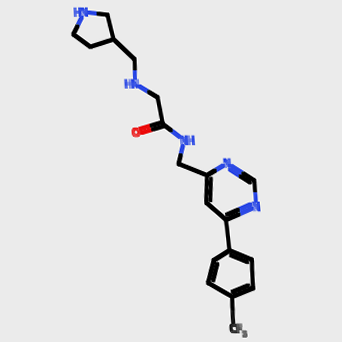 O=C(CNCC1CCNC1)NCc1cc(-c2ccc(C(F)(F)F)cc2)ncn1